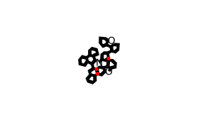 c1ccc2cc(-c3c(N(c4ccc(-c5cccc6oc7ccccc7c56)cc4)c4cccc5oc6ccccc6c45)c4ccccc4c4ccccc34)ccc2c1